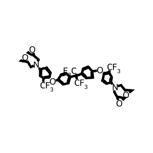 FC(F)(F)c1cc(N(CC2CO2)CC2CO2)ccc1Oc1ccc(C(c2ccc(Oc3ccc(N(CC4CO4)CC4CO4)cc3C(F)(F)F)cc2)(C(F)(F)F)C(F)(F)F)cc1